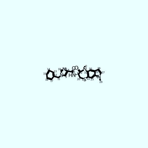 CN1C(=O)[C@@H](NC(=O)c2cn(Cc3ccccc3)cn2)CSc2cc3c(ccn3C)cc21